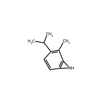 Cc1c(C(C)C)ccc2c1N2